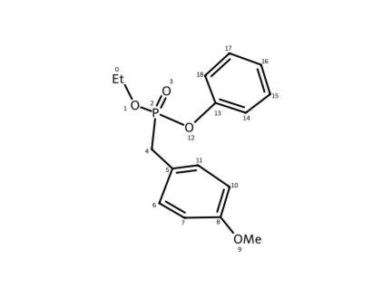 CCOP(=O)(Cc1ccc(OC)cc1)Oc1ccccc1